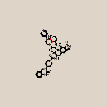 Cc1cc(C[C@@H](NC(=O)N2CCC(N3Cc4ccccc4NC3=O)CC2)C(=O)N[C@@H](CC2CCNCC2)C(=O)N2CCN(c3ccncc3)CC2)cc2cn[nH]c12